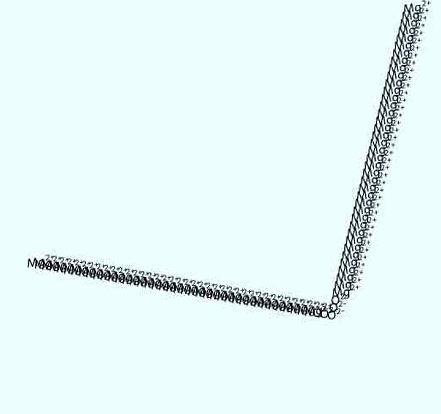 [Mg+2].[Mg+2].[Mg+2].[Mg+2].[Mg+2].[Mg+2].[Mg+2].[Mg+2].[Mg+2].[Mg+2].[Mg+2].[Mg+2].[Mg+2].[Mg+2].[Mg+2].[Mg+2].[Mg+2].[Mg+2].[Mg+2].[Mg+2].[Mg+2].[Mg+2].[Mg+2].[Mg+2].[Mg+2].[Mg+2].[Mg+2].[Mg+2].[Mg+2].[Mg+2].[Mg+2].[Mg+2].[Mg+2].[Mg+2].[Mg+2].[Mg+2].[Mg+2].[Mg+2].[Mg+2].[Mg+2].[Mg+2].[Mg+2].[Mg+2].[Mg+2].[Mg+2].[Mg+2].[Mg+2].[Mg+2].[Mg+2].[Mg+2].[Mg+2].[Mg+2].[Mg+2].[Mg+2].[Mg+2].[Mg+2].[Mg+2].[Mg+2].[Mg+2].[Mg+2].[Mg+2].[Mg+2].[Mg+2].[Mg+2].[Mg+2].[Mg+2].[Mg+2].[Mg+2].[Mg+2].[Mg+2].[Mg+2].[Mg+2].[Mg+2].[Mg+2].[Mg+2].[Mg+2].[Mg+2].[Mg+2].[O-2].[O-2].[O-2].[O-2].[O-2]